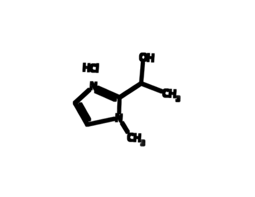 CC(O)c1nccn1C.Cl